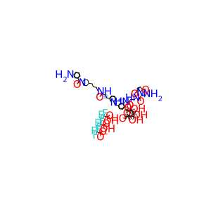 NCC(C(=O)NCCC(=O)Nc1cc(C[n+]2cccc(/C=C/C(=O)NCCCCC3CCN(C(=O)c4cccc(N)c4)CC3)c2)ccc1O[C@H]1O[C@H](CO)[C@@H](O)[C@H](O)[C@@H]1O)N1C(=O)C=CC1=O.O=C(O)C(F)(F)F.O=C(O)C(F)(F)F.O=C([O-])C(F)(F)F